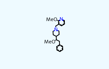 COc1ncccc1CN1CCC(C(Cc2ccccc2)OC)CC1